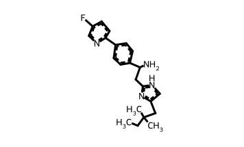 CCC(C)(C)Cc1c[nH]c(CC(N)c2ccc(-c3ccc(F)cn3)cc2)n1